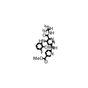 [2H]C([2H])([2H])NC(=O)c1nnc(Nc2ccc(C(=O)OC)cn2)cc1Nc1cccc(F)c1OC